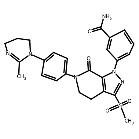 CC1=NCCCN1c1ccc(N2CCc3c(S(C)(=O)=O)nn(-c4cccc(C(N)=O)c4)c3C2=O)cc1